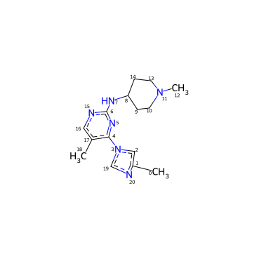 Cc1cn(-c2nc(NC3CCN(C)CC3)ncc2C)cn1